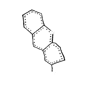 CC(=O)Oc1ccc2nc3ccccc3cc2c1